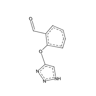 O=Cc1ccccc1Oc1c[nH]nn1